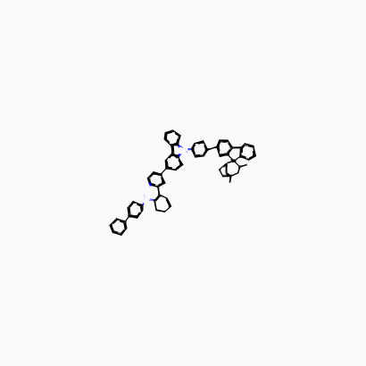 CC1CC2(C)CCC(C2)C12c1ccccc1-c1ccc(-c3ccc(-n4c5ccccc5c5cc(-c6cccc(C7=C(Nc8ccc(-c9ccccc9)cc8)CCC=C7)c6)ccc54)cc3)cc12